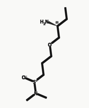 CC[C@@H](N)COCCC[S+]([O-])N(C)C